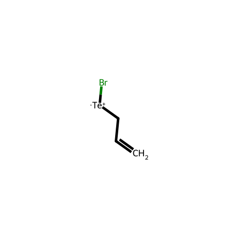 C=CC[Te+]Br